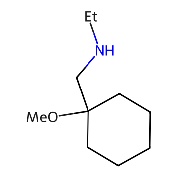 CCNCC1(OC)CCCCC1